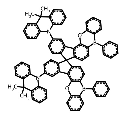 CC1(C)c2ccccc2N(c2ccc3c(c2)-c2c(ccc4c2Oc2ccccc2B4c2ccccc2)C32c3ccc(N4c5ccccc5C(C)(C)c5ccccc54)cc3-c3c2ccc2c3Oc3ccccc3B2c2ccccc2)c2ccccc21